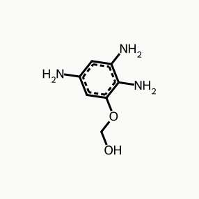 Nc1cc(N)c(N)c(OCO)c1